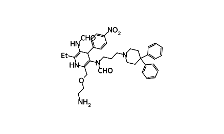 CCC1=C(NC=O)C(c2ccc([N+](=O)[O-])cc2)C(N(C=O)CCCN2CCC(c3ccccc3)(c3ccccc3)CC2)=C(COCCN)N1